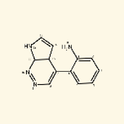 Nc1ccccc1C1=CN=NC2NC=CC12